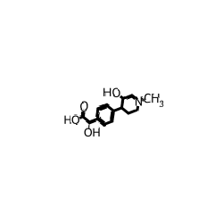 CN1CCC(c2ccc([C@H](O)C(=O)O)cc2)C(O)C1